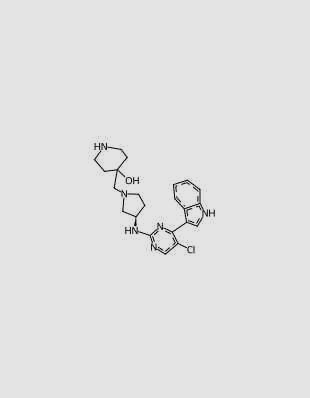 OC1(CN2CC[C@@H](Nc3ncc(Cl)c(-c4c[nH]c5ccccc45)n3)C2)CCNCC1